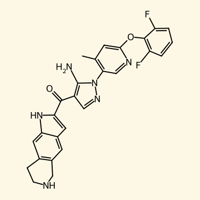 Cc1cc(Oc2c(F)cccc2F)ncc1-n1ncc(C(=O)c2cc3cc4c(cc3[nH]2)CCNC4)c1N